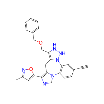 C#Cc1ccc2c(c1)N1NNC(COCc3ccccc3)=C1Cc1c(-c3cc(C)no3)ncn1-2